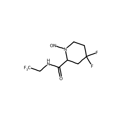 O=NN1CCC(F)(F)CC1C(=O)NCC(F)(F)F